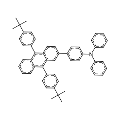 CC(C)(C)c1ccc(-c2c3ccccc3c(-c3ccc(C(C)(C)C)cc3)c3cc(-c4ccc(N(c5ccccc5)c5ccccc5)cc4)ccc23)cc1